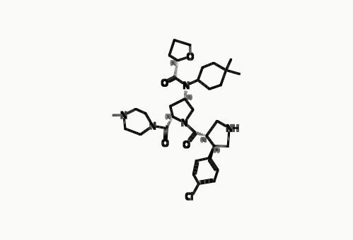 CN1CCN(C(=O)[C@@H]2C[C@H](N(C(=O)[C@@H]3CCCO3)C3CCC(C)(C)CC3)CN2C(=O)[C@@H]2CNC[C@H]2c2ccc(Cl)cc2)CC1